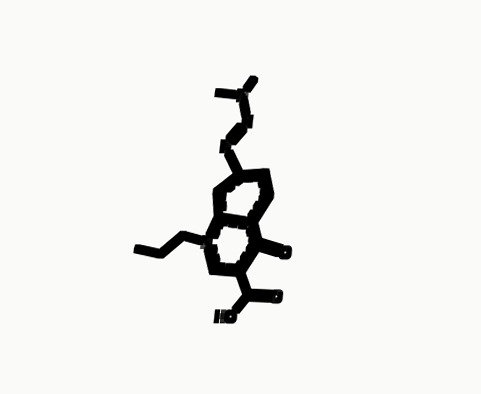 CCCn1cc(C(=O)O)c(=O)c2ccc(N=NN(C)C)cc21